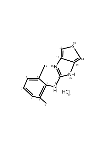 Cc1cccc(C)c1Nc1nc2cscc2[nH]1.Cl